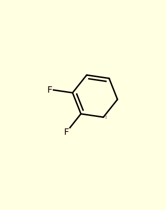 FC1=C(F)C=CC[C]1